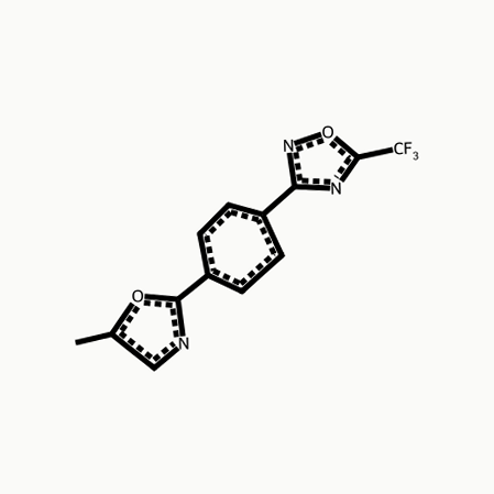 Cc1cnc(-c2ccc(-c3noc(C(F)(F)F)n3)cc2)o1